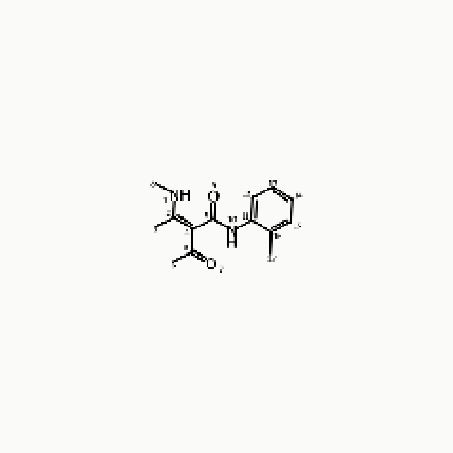 CNC(C)=C(C(C)=O)C(=O)Nc1ccccc1C